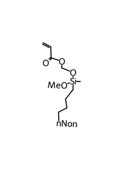 C=CC(=O)OCO[Si](C)(CCCCCCCCCCCCC)OC